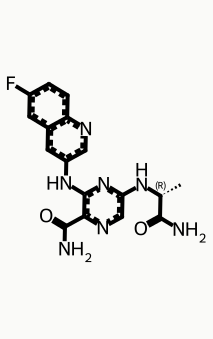 C[C@@H](Nc1cnc(C(N)=O)c(Nc2cnc3ccc(F)cc3c2)n1)C(N)=O